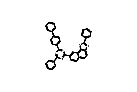 c1ccc(-c2ccc(-c3nc(-c4ccccc4)nc(-c4ccc5ccc6nc(-c7ccccc7)sc6c5c4)n3)cc2)cc1